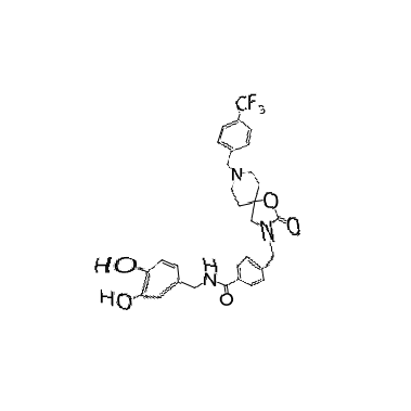 O=C(NCc1ccc(O)c(O)c1)c1ccc(CN2CC3(CCN(Cc4ccc(C(F)(F)F)cc4)CC3)OC2=O)cc1